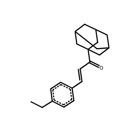 CCc1ccc(C=CC(=O)C23CC4CC(CC(C4)C2)C3)cc1